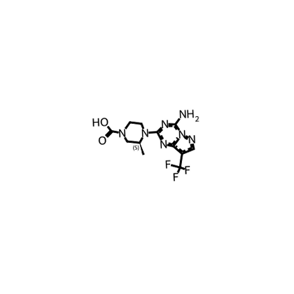 C[C@H]1CN(C(=O)O)CCN1c1nc(N)n2ncc(C(F)(F)F)c2n1